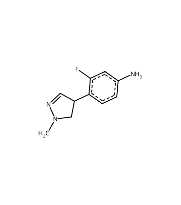 CN1CC(c2ccc(N)cc2F)C=N1